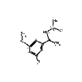 CC(N[S@+]([O-])C(C)(C)C)c1cc(Cl)cc(OC(F)(F)F)c1